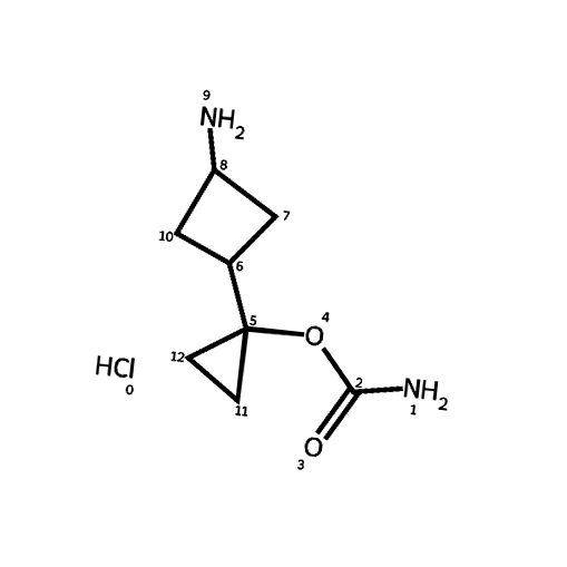 Cl.NC(=O)OC1(C2CC(N)C2)CC1